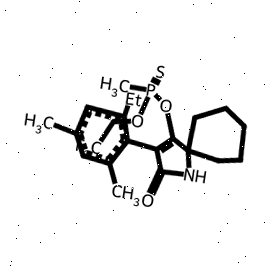 CCc1cc(C)cc(C)c1C1=C(OP(C)(=S)OCC(F)(F)F)C2(CCCCC2)NC1=O